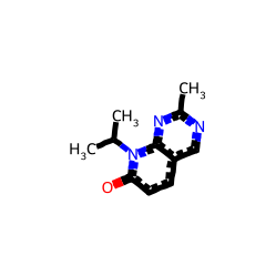 Cc1ncc2ccc(=O)n(C(C)C)c2n1